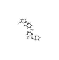 CNC(=O)C1Cc2cc(Nc3ncc(F)c(Nc4ccccc4)n3)ccc2O1